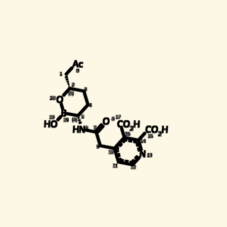 CC(=O)C[C@@H]1CC[C@H](NC(=O)Cc2ccnc(C(=O)O)c2C(=O)O)B(O)O1